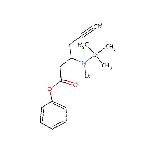 C#CCC(CC(=O)Oc1ccccc1)N(CC)[Si](C)(C)C